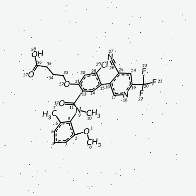 COc1cccc(C)c1N(C)C(=O)c1cc(-c2cnc(C(F)(F)F)cc2C#N)c(Cl)cc1OCCCC(=O)O